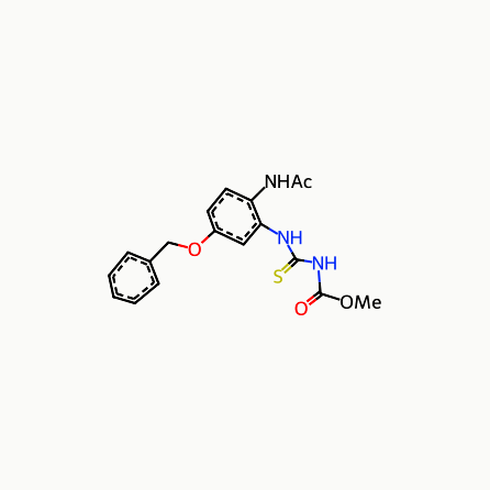 COC(=O)NC(=S)Nc1cc(OCc2ccccc2)ccc1NC(C)=O